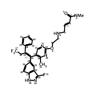 CNC(=O)/C=C/CNCCOc1ncc(/C(=C(/CC(F)(F)F)c2ccccc2)c2ccc3[nH]nc(F)c3c2)c(C)n1